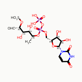 C[C@@H](OP(=O)(OC[C@H]1O[C@@H](n2ccc(=O)[nH]c2=O)[C@H](O)[C@@H]1O)OP(=O)(O)O)[C@@H](O)[C@H](O)[C@H](C=O)OS(=O)(=O)O